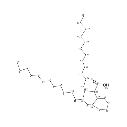 CCCCCCCCCCCCC1CC2CCCCC2C(C(=O)O)C1CCCCCCCCCCCC